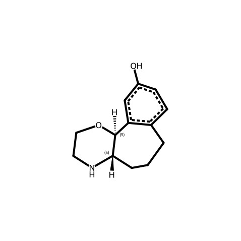 Oc1ccc2c(c1)[C@@H]1OCCN[C@H]1CCC2